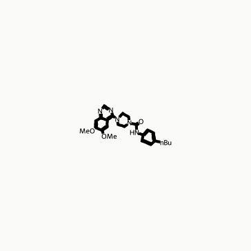 CCCCc1ccc(NC(=O)N2CCN(c3ncnc4cc(OC)c(OC)cc34)CC2)cc1